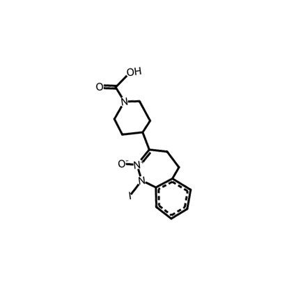 O=C(O)N1CCC(C2=[N+]([O-])N(I)c3ccccc3CC2)CC1